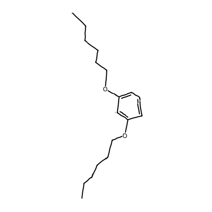 CCCCCCOc1[c]c(OCCCCCC)ccc1